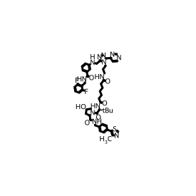 Cc1ncsc1-c1ccc(CNC(=O)C2C[C@@H](O)CN2C(=O)[C@@H](NC(=O)CCCCCC(=O)NCCCn2c(CNc3cccc(C(=O)NCc4c(F)cccc4F)c3)nnc2-c2ccncn2)C(C)(C)C)cc1